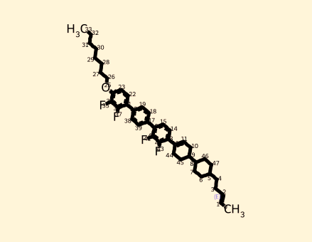 C/C=C/CCC1CCC(C2CC=C(c3ccc(-c4ccc(-c5ccc(OCCCCCCCC)c(F)c5F)cc4)c(F)c3F)CC2)CC1